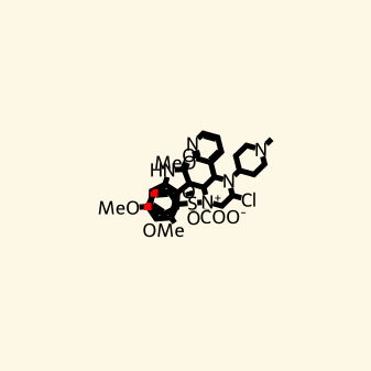 COc1ccc(S(=O)(=O)[N+]2(C(=O)[O-])CC(Cl)N(C3CCN(C)CC3)C(c3cccnc3OC)C2C2C(=O)Nc3ccccc32)c(OC)c1